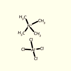 C[N+](C)(C)C.[Cl][Al-]([Cl])([Cl])[Cl]